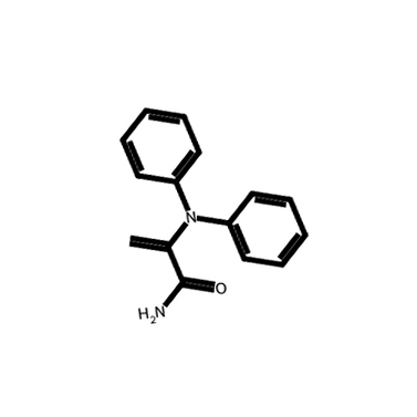 C=C(C(N)=O)N(c1ccccc1)c1ccccc1